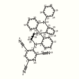 N#Cc1cc(C#N)c(N2c3ccccc3[Si]3(c4ccccc4N(c4ccccc4)c4ccccc43)c3ccccc32)c(C#N)n1